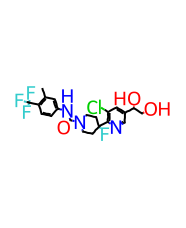 Cc1cc(NC(=O)N2CCC(F)(c3ncc([C@H](O)CO)cc3Cl)CC2)ccc1C(F)(F)F